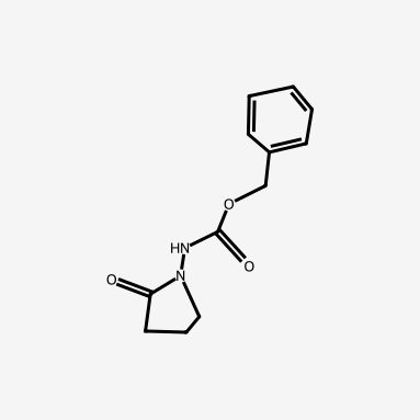 O=C(NN1CCCC1=O)OCc1ccccc1